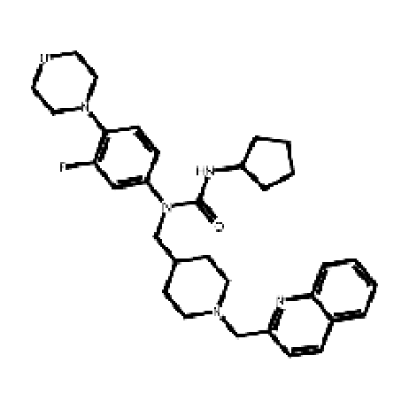 O=C(NC1CCCC1)N(CC1CCN(Cc2ccc3ccccc3n2)CC1)c1ccc(N2CCOCC2)c(F)c1